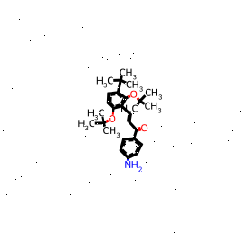 CC(C)(C)Oc1ccc(C(C)(C)C)c(OC(C)(C)C)c1C=CC(=O)c1ccc(N)cc1